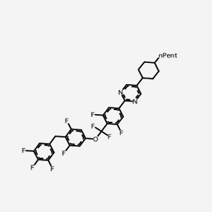 CCCCCC1CCC(c2cnc(-c3cc(F)c(C(F)(F)Oc4cc(F)c(Cc5cc(F)c(F)c(F)c5)c(F)c4)c(F)c3)nc2)CC1